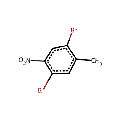 Cc1cc(Br)c([N+](=O)[O-])cc1Br